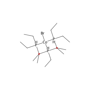 CC[PH](CC)(CC)[Co]([Br])([PH](CC)(CC)CC)[PH](CC)(CC)CC